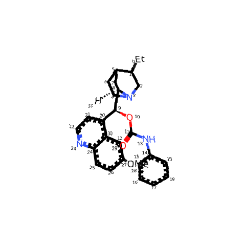 CCC1CN2CCC1C[C@@H]2[C@@H](OC(=O)Nc1ccccc1)c1ccnc2ccc(OC)cc12